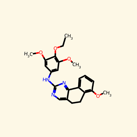 CCOc1c(OC)cc(Nc2ncc3c(n2)-c2cccc(OC)c2CC3)cc1OC